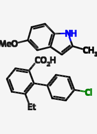 CCc1cccc(C(=O)O)c1-c1ccc(Cl)cc1.COc1ccc2[nH]c(C)cc2c1